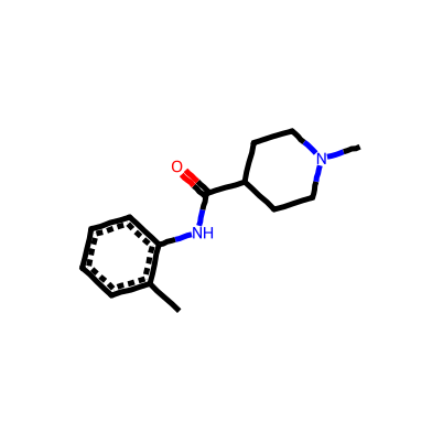 Cc1ccccc1NC(=O)C1CCN(C)CC1